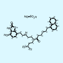 CCN(CC)CCN(CCNCCc1ccc(O)c2[nH]c(=O)sc12)C(=O)CCOCCc1cccc2ccccc12.O=S(=O)(O)O